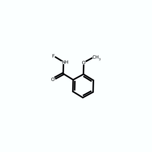 COc1ccccc1C(=O)NF